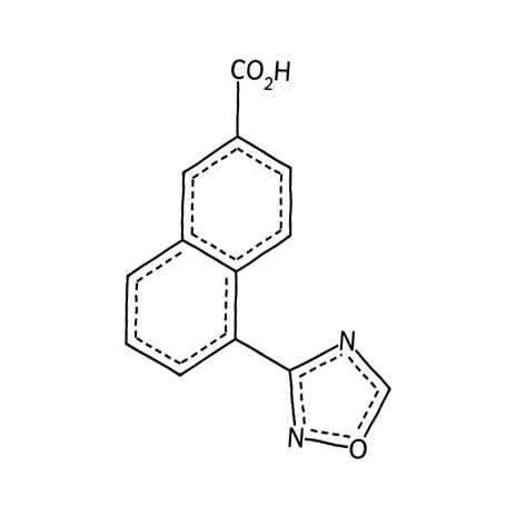 O=C(O)c1ccc2c(-c3ncon3)cccc2c1